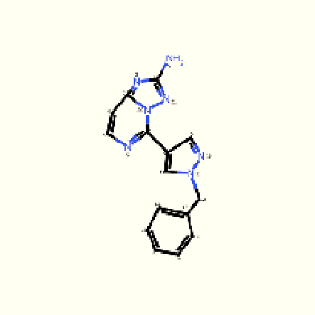 Nc1nc2ccnc(-c3cnn(Cc4ccccc4)c3)n2n1